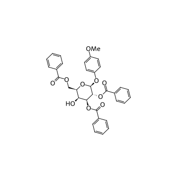 COc1ccc(O[C@@H]2O[C@H](COC(=O)c3ccccc3)[C@H](O)[C@H](OC(=O)c3ccccc3)[C@H]2OC(=O)c2ccccc2)cc1